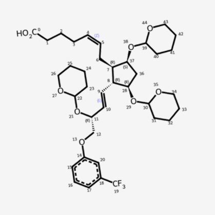 O=C(O)CCC/C=C\C[C@@H]1[C@@H](/C=C/[C@H](COc2cccc(C(F)(F)F)c2)OC2CCCCO2)[C@H](OC2CCCCO2)C[C@@H]1OC1CCCCO1